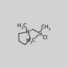 C[N+]1(C[Si](C)(C)Cl)CCCC1